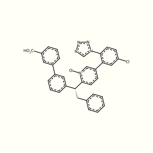 O=C(O)c1cccc(-c2cccc([C@@H](Cc3ccccc3)c3ccc(-c4cc(Cl)ccc4-n4cnnn4)c[n+]3[O-])c2)c1